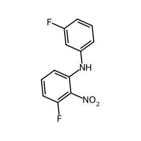 O=[N+]([O-])c1c(F)cccc1Nc1cccc(F)c1